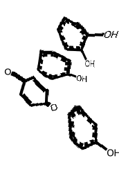 O=C1C=CC(=O)C=C1.Oc1ccccc1.Oc1ccccc1.Oc1ccccc1O